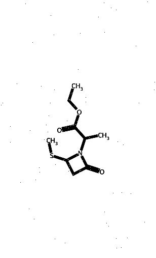 CCOC(=O)C(C)N1C(=O)CC1SC